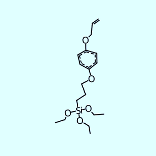 C=CCOc1ccc(OCCC[Si](OCC)(OCC)OCC)cc1